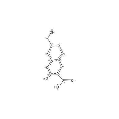 CC(=O)c1cc2ccc(CO)cc2oc1=O